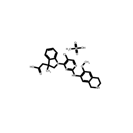 COc1cc2c(cc1Nc1ncc(Cl)c(N3CC(C)(CC(=O)O)c4ccccc43)n1)CNCC2.CS(=O)(=O)O